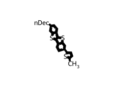 CCCCCCCCCCc1ccc2c(c1)sc1c3ccc(-c4ccc(C)s4)cc3sc21